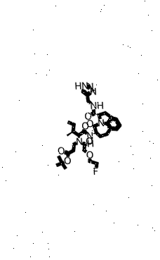 CC[C@H](C)[C@@H](C(=O)N[C@H]1CCc2cccc3c2N(C1=O)[C@H](C(=O)NCc1c[nH]nn1)C3)N(CCC(=O)OC(C)(C)C)C(=O)COCCF